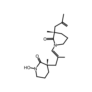 C=C(C)C[C@]1(C)CCCN(/C=C(\C)C[C@]2(C)CCCN(O)C2=O)C1=O